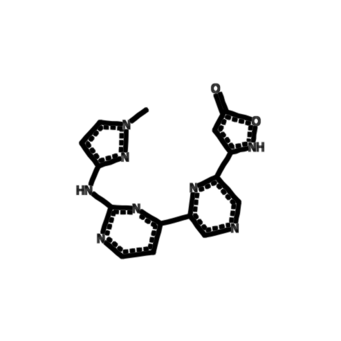 Cn1ccc(Nc2nccc(-c3cncc(-c4cc(=O)o[nH]4)n3)n2)n1